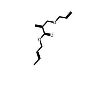 C=CCOCC(=C)C(=O)OCC=CC